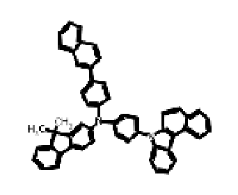 CC1(C)c2ccccc2-c2ccc(N(c3ccc(-c4ccc5ccccc5c4)cc3)c3ccc(-n4c5ccccc5c5c6ccccc6ccc54)cc3)cc21